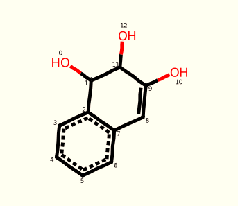 O[C]1c2ccccc2C=C(O)C1O